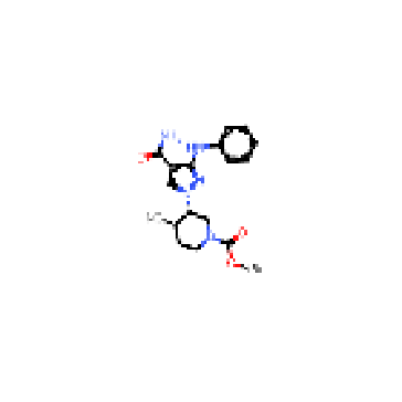 CC(C)(C)OC(=O)N1CC[C@@H](C#N)[C@H](n2cc(C(N)=O)c(Nc3ccccc3)n2)C1